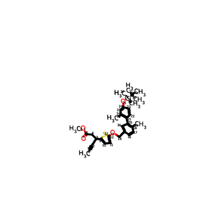 CC#CC(CC(=O)OC)c1ccc(OCc2ccc(C)c(-c3ccc(O[Si](C)(C)C(C)(C)C)cc3C)c2)s1